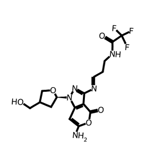 Nc1cc2c(c(N=CCCNC(=O)C(F)(F)F)nn2[C@H]2CC(CO)CO2)c(=O)o1